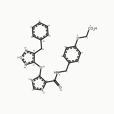 O=C(O)COc1ccc(CNC(=O)c2scnc2Oc2nonc2Cc2ccccc2)cc1